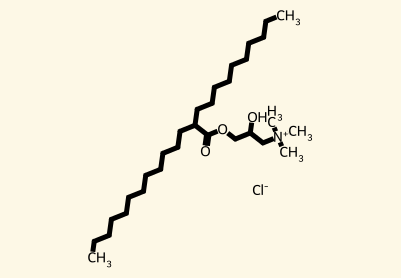 CCCCCCCCCCCCC(CCCCCCCCCC)C(=O)OCC(O)C[N+](C)(C)C.[Cl-]